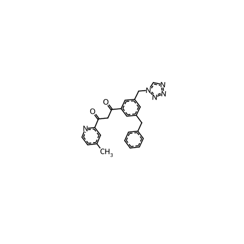 Cc1ccnc(C(=O)CC(=O)c2cc(Cc3ccccc3)cc(Cn3cnnn3)c2)c1